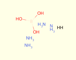 N.N.N.N.OB(O)O.[HH]